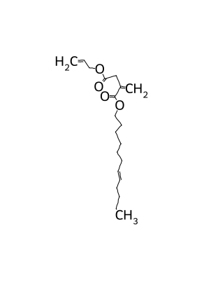 C=CCOC(=O)CC(=C)C(=O)OCCCCCCC=CCCCC